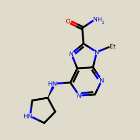 CCn1c(C(N)=O)nc2c(N[C@H]3CCNC3)ncnc21